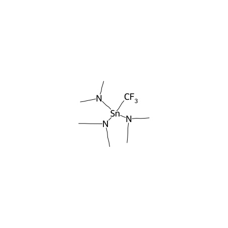 C[N](C)[Sn]([N](C)C)([N](C)C)[C](F)(F)F